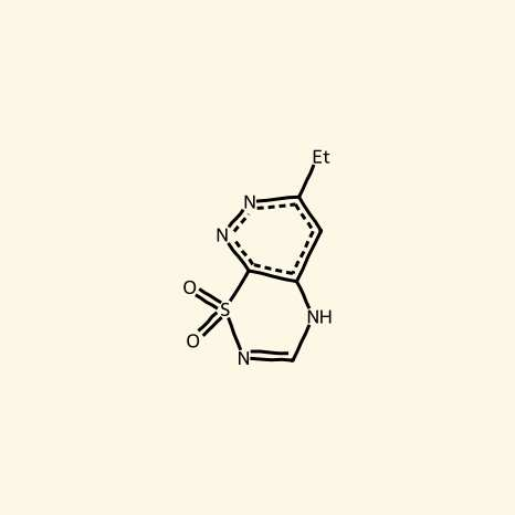 CCc1cc2c(nn1)S(=O)(=O)N=CN2